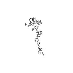 CC[S+]([O-])CCCOc1cccc(-c2cc3nccc(Oc4ccc(C(C(N)=O)C(=O)Nc5ccccc5OC)cc4F)c3s2)c1